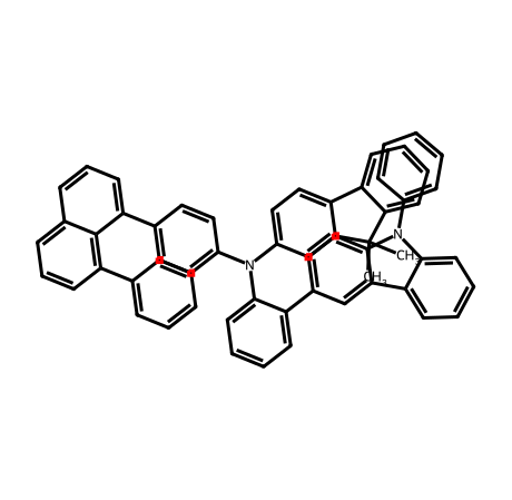 CC1(C)c2ccccc2-c2ccc(N(c3ccc(-c4cccc5cccc(-c6ccccc6)c45)cc3)c3ccccc3-c3ccc4c(c3)c3ccccc3n4-c3ccccc3)cc21